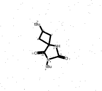 CC(C)(C)C1CC2(C1)NC(=O)N(C(C)(C)C)C2=O